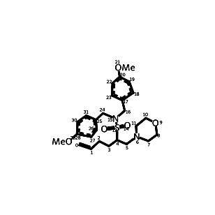 C=CCCC(CN1CCOCC1)S(=O)(=O)N(Cc1ccc(OC)cc1)Cc1ccc(OC)cc1